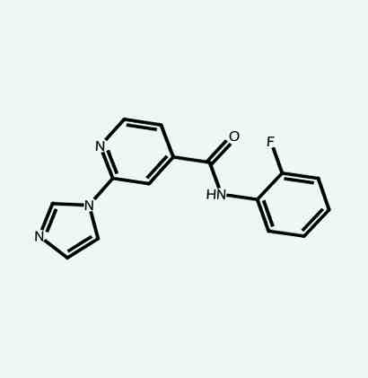 O=C(Nc1ccccc1F)c1ccnc(-n2ccnc2)c1